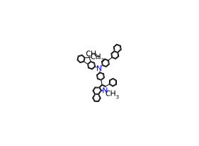 Cn1c(-c2ccccc2)c(-c2ccc(N(c3ccc(-c4ccc5ccccc5c4)cc3)c3ccc4c(c3)C(C)(C)c3ccccc3-4)cc2)c2ccc3ccccc3c21